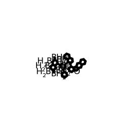 Bc1c(B)c(B)c2c(-c3nc(-c4ccccc4)nc(-c4c(-c5cccc6oc7cc8ccccc8cc7c56)ccc5ccccc45)n3)c(B)c(B)c(B)c2c1B